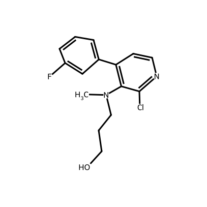 CN(CCCO)c1c(-c2cccc(F)c2)ccnc1Cl